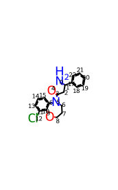 NC(CC(=O)N1CCCOc2c(Cl)cccc21)c1ccccc1